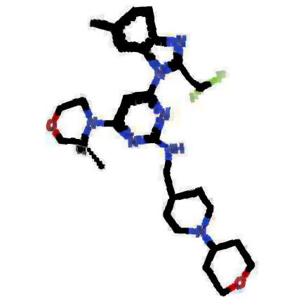 Cc1ccc2nc(C(F)F)n(-c3cc(N4CCOC[C@H]4C)nc(NCC4CCN(C5CCOCC5)CC4)n3)c2c1